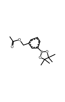 CC(=O)OCc1cccc(B2OC(C)(C)C(C)(C)O2)c1